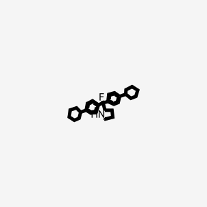 FC(c1ccc(C2CCCCC2)cc1)(c1ccc(C2CCCCC2)cc1)C1CCCN1